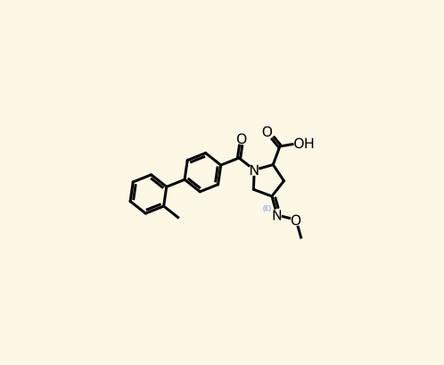 CO/N=C1\CC(C(=O)O)N(C(=O)c2ccc(-c3ccccc3C)cc2)C1